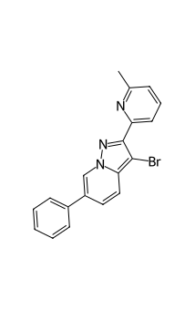 Cc1cccc(-c2nn3cc(-c4ccccc4)ccc3c2Br)n1